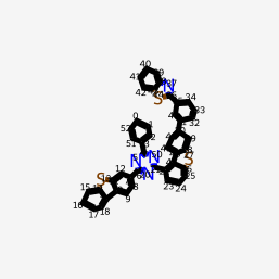 c1ccc(-c2nc(-c3ccc4c(c3)sc3ccccc34)nc(-c3cccc4sc5cc(-c6cccc(-c7nc8ccccc8s7)c6)ccc5c34)n2)cc1